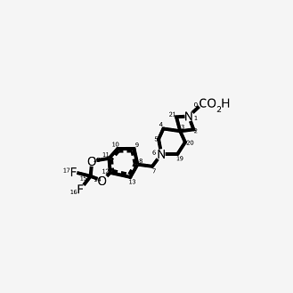 O=C(O)N1CC2(CCN(Cc3ccc4c(c3)OC(F)(F)O4)CC2)C1